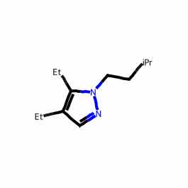 CCc1[c]nn(CCC(C)C)c1CC